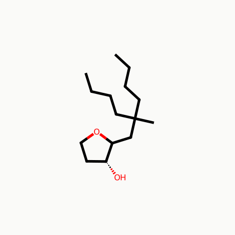 CCCCC(C)(CCCC)CC1OCC[C@H]1O